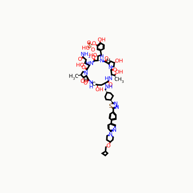 C[C@@H](O)[C@@H]1NC(=O)[C@@H](NC[C@H]2CC[C@H](c3nnc(-c4ccc(-c5ccc(N6CCC(OCC7CCC7)CC6)nc5)cc4)s3)CC2)C[C@@H](O)CNC(=O)[C@@H]2[C@@H](O)[C@@H](C)CN2C(=O)[C@H]([C@H](O)CC(N)=O)NC(=O)[C@H]([C@H](O)Cc2ccc(O)c(OS(=O)(=O)O)c2)NC(=O)[C@@H]2C[C@@H](O)CN2C1=O